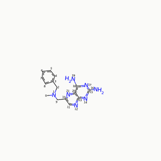 CN(Cc1ccccc1)Cc1cnc2nc(N)nc(N)c2n1